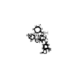 COc1ccc(Oc2nc(NC3CCCCCC3)nc(OC3CCN(C)CC3)n2)cc1F